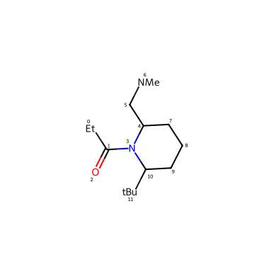 CCC(=O)N1C(CNC)CCCC1C(C)(C)C